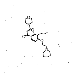 CCCc1c(OCCN2CCCCC2)ccc2c(=O)cc(N3CCOCC3)oc12